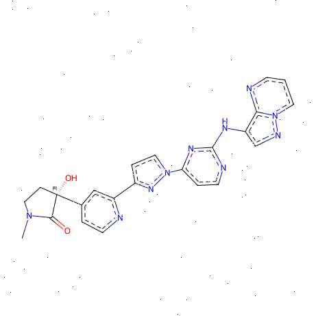 CN1CC[C@@](O)(c2ccnc(-c3ccn(-c4ccnc(Nc5cnn6cccnc56)n4)n3)c2)C1=O